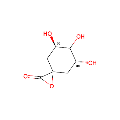 O=C1OC12C[C@@H](O)C(O)[C@H](O)C2